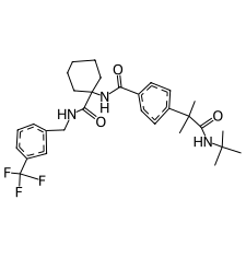 CC(C)(C)NC(=O)C(C)(C)c1ccc(C(=O)NC2(C(=O)NCc3cccc(C(F)(F)F)c3)CCCCC2)cc1